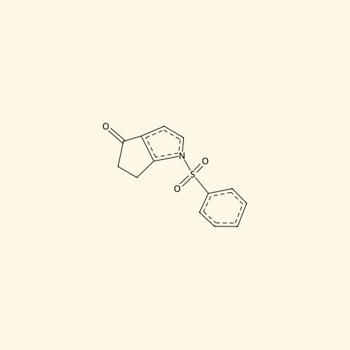 O=C1CCc2c1ccn2S(=O)(=O)c1ccccc1